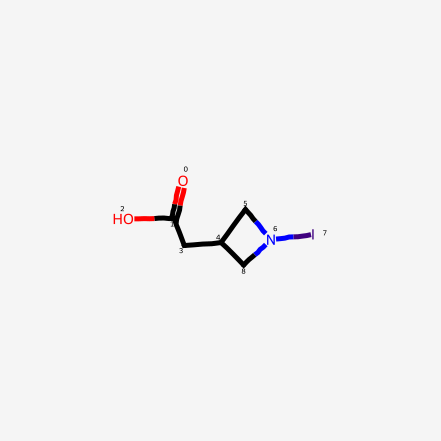 O=C(O)CC1CN(I)C1